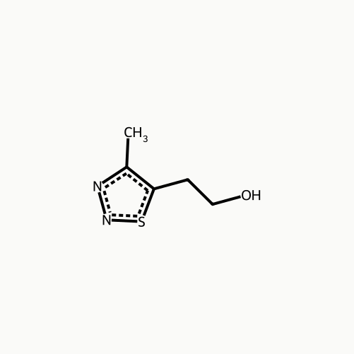 Cc1nnsc1CCO